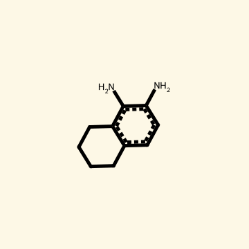 Nc1ccc2c(c1N)CCCC2